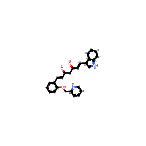 O=C(C=Cc1ccccc1OCc1ccccn1)CC(=O)C=Cc1c[nH]c2ccccc12